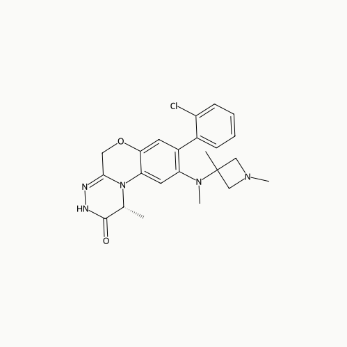 C[C@@H]1C(=O)NN=C2COc3cc(-c4ccccc4Cl)c(N(C)C4(C)CN(C)C4)cc3N21